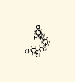 O=C(CCc1ccc(Cl)cc1Cl)N1CCC[C@H](c2nc3cc(Cl)ccc3[nH]2)C1